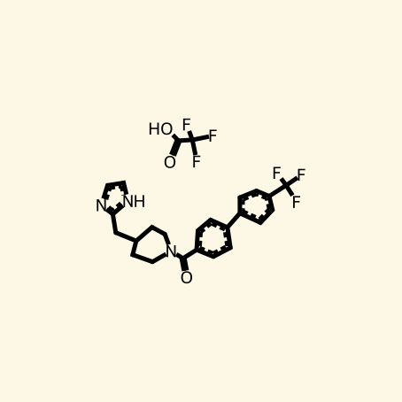 O=C(O)C(F)(F)F.O=C(c1ccc(-c2ccc(C(F)(F)F)cc2)cc1)N1CCC(Cc2ncc[nH]2)CC1